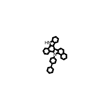 c1ccc(-c2ccc(-n3c4c5ccccc5ccc4c4c5c6ccccc6[nH]c5c5ccccc5c43)cc2)cc1